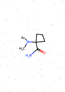 CC(=O)N(C)C1(C(N)=O)CCC1